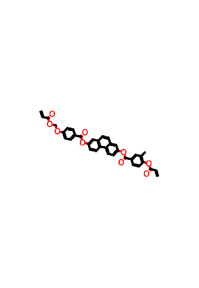 C=CC(=O)OCOc1ccc(C(=O)Oc2ccc3c(ccc4cc(OC(=O)c5ccc(OC(=O)C=C)c(C)c5)ccc43)c2)cc1